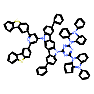 c1ccc(-c2ccc3c(c2)c2cc4c(cc2n3-c2cc(-c3ccc5sc6ccccc6c5c3)nc(-c3ccc5sc6ccccc6c5c3)c2)c2cc(-c3ccccc3)ccc2n4-c2nc(N3c4ccccc4N(c4ccccc4)c4ccccc43)nc(N3c4ccccc4N(c4ccccc4)c4ccccc43)n2)cc1